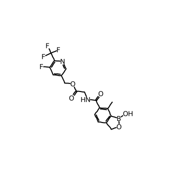 Cc1c(C(=O)NCC(=O)OCc2cnc(C(F)(F)F)c(F)c2)ccc2c1B(O)OC2